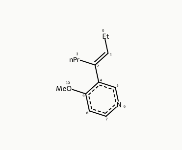 CC/C=C(\CCC)c1cnccc1OC